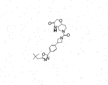 CC(C)(C)Cc1nnc(-c2ccc(C3CN(C(=O)N4CCC5OCC(=O)N[C@@H]5C4)C3)cc2)o1